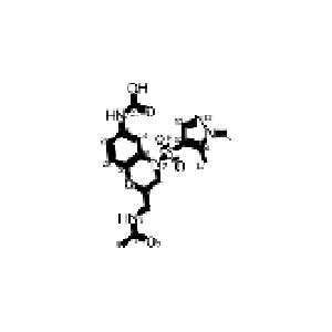 CC(=O)NCC1CN(S(=O)(=O)c2cnn(C)c2C)c2cc(NC(=O)O)ccc2O1